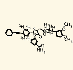 [2H]c1c([2H])c([C@@H]2S[C@H](CC(=O)NC([2H])([2H])C([2H])([2H])c3ccc(OC)c(OCC)c3)C(=O)N2c2cccc(C(N)=O)c2)c([2H])c([2H])c1C#Cc1ccccc1